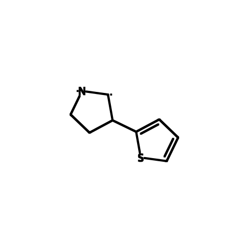 [CH]1[N]CCC1c1cccs1